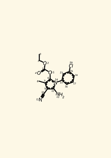 CCOC(=O)Oc1c(C)c(C#N)c(N)n1-c1cccc(Cl)c1